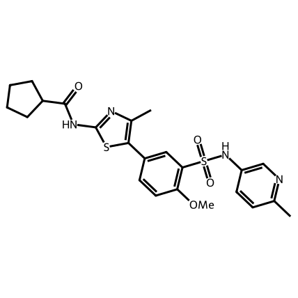 COc1ccc(-c2sc(NC(=O)C3CCCC3)nc2C)cc1S(=O)(=O)Nc1ccc(C)nc1